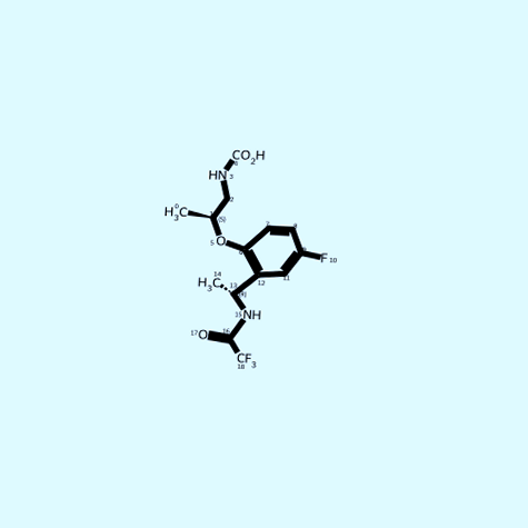 C[C@@H](CNC(=O)O)Oc1ccc(F)cc1[C@@H](C)NC(=O)C(F)(F)F